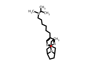 CCN1CC2CCC(C1)N2c1ncc(CCCCCCN(C)C(C)C)cn1